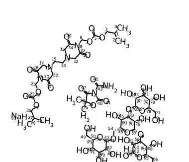 CC(C)COC(=O)OCN1C(=O)CN(CCN2CC(=O)N(COC(=O)OCC(C)C)C(=O)C2)CC1=O.CC1(C)OC(=O)N(C(N)=O)C1=O.OC[C@H]1O[C@@H](OC[C@H]2O[C@@H](O[C@@H]3[C@@H](O)[C@H](O)O[C@H](CO)[C@H]3O)[C@H](O)[C@@H](O[C@@H]3O[C@H](CO)[C@@H](O)[C@H](O)[C@H]3O)[C@@H]2O)[C@H](O)[C@@H](O)[C@@H]1O.[NaH]